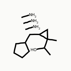 CC(O)C1(C)CC1CC1CCCC1.CN.CN.CN